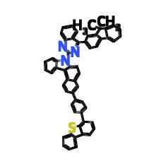 CC1(C)c2ccccc2-c2ccc(-c3nc(-n4c5ccccc5c5c6ccc(-c7ccc(-c8cccc9c8sc8ccccc89)cc7)cc6ccc54)nc4ccccc34)cc21